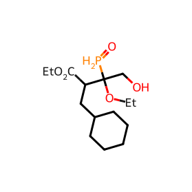 CCOC(=O)C(CC1CCCCC1)C(CO)(OCC)[PH2]=O